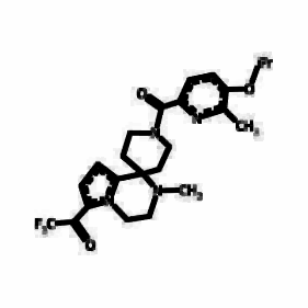 Cc1nc(C(=O)N2CCC3(CC2)c2ccc(C(=O)C(F)(F)F)n2CCN3C)ccc1OC(C)C